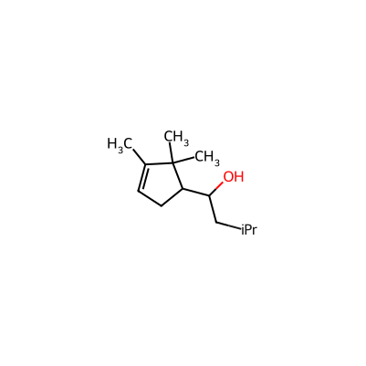 CC1=CCC(C(O)CC(C)C)C1(C)C